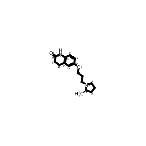 C[C@@H]1CCCN1CCCOc1ccc2c(c1)CCC(=O)N2